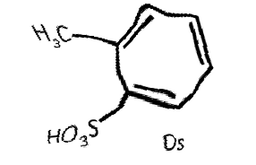 Cc1ccccc1S(=O)(=O)O.[Os]